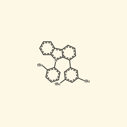 CC(C)(C)c1cc(-c2cccc3c4ccccc4n(-c4ccccc4C(C)(C)C)c23)cc(C(C)(C)C)c1